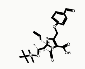 C=CC[C@]12SC(COc3ccc(C=O)cc3)=C(C(=O)O)N1C(=O)[C@@H]2[C@@H](C)O[Si](C)(C)C(C)(C)C